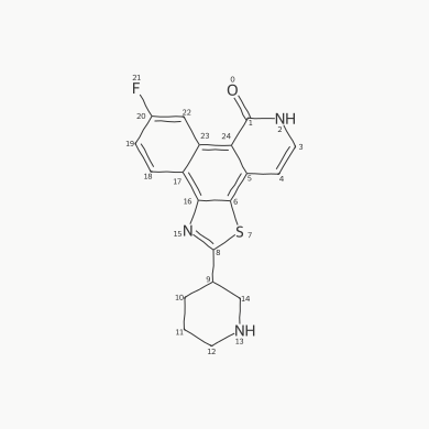 O=c1[nH]ccc2c3sc(C4CCCNC4)nc3c3ccc(F)cc3c12